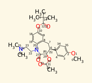 COc1ccc([C@@H]2Cc3cc(OC(=O)C(C)(C)C)ccc3N(CCN(C)C)C(=O)[C@@H]2OC(C)=O)cc1